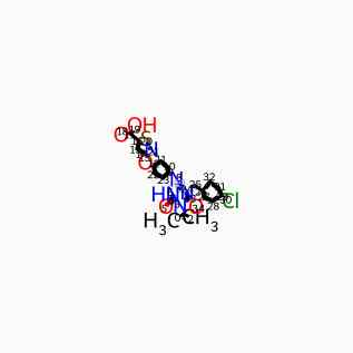 CC(C)n1c(=O)[nH]/c(=N\c2ccc(Oc3cc(C(=O)O)sn3)cc2)n(Cc2ccc(Cl)cc2)c1=O